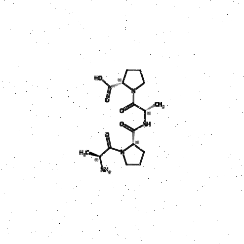 C[C@H](N)C(=O)N1CCC[C@H]1C(=O)N[C@@H](C)C(=O)N1CCC[C@H]1C(=O)O